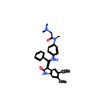 COc1cc2c(cc1OC)C(=C(Nc1ccc(N(C)C(=O)CN(C)C)cc1)c1ccccc1)C(=O)N2